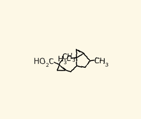 CC1CC(CC2CC2(C)C(=O)O)C2(C)CC12